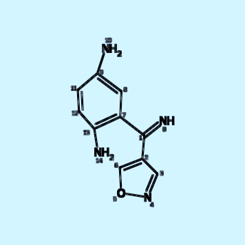 N=C(c1cnoc1)c1cc(N)ccc1N